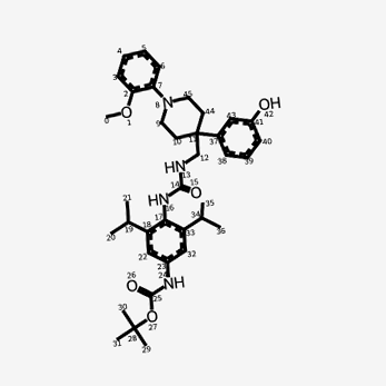 COc1ccccc1N1CCC(CNC(=O)Nc2c(C(C)C)cc(NC(=O)OC(C)(C)C)cc2C(C)C)(c2cccc(O)c2)CC1